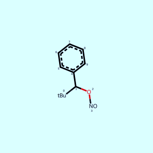 CC(C)(C)C(ON=O)c1ccccc1